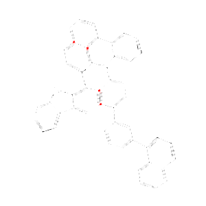 c1ccc(-c2ccccc2N(c2ccc(-c3cccc(-c4cccc5ccccc45)c3)cc2)c2ccccc2-c2cccc3c2sc2ccccc23)cc1